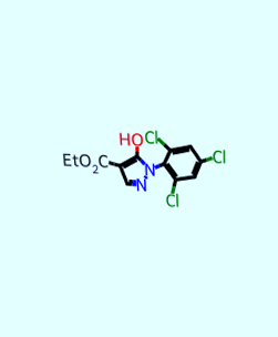 CCOC(=O)c1cnn(-c2c(Cl)cc(Cl)cc2Cl)c1O